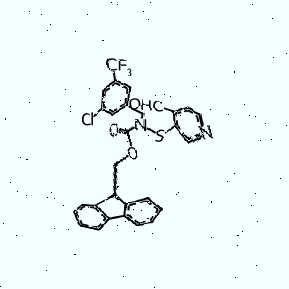 O=Cc1ccncc1SN(Cc1cc(Cl)cc(C(F)(F)F)c1)C(=O)OCC1c2ccccc2-c2ccccc21